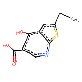 CCc1cc2c(O)c(C(=O)O)cnc2s1